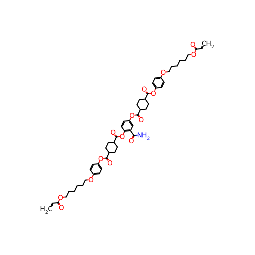 C=CC(=O)OCCCCCCOc1ccc(OC(=O)C2CCC(C(=O)Oc3ccc(OC(=O)C4CCC(C(=O)Oc5ccc(OCCCCCCOC(=O)C=C)cc5)CC4)c(C(N)=O)c3)CC2)cc1